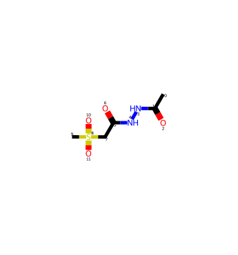 CC(=O)NNC(=O)CS(C)(=O)=O